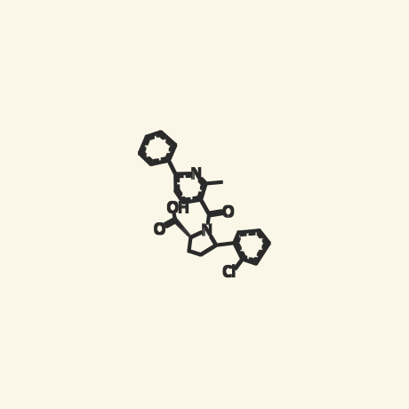 Cc1nc(-c2ccccc2)ccc1C(=O)N1C(c2ccccc2Cl)CC[C@H]1C(=O)O